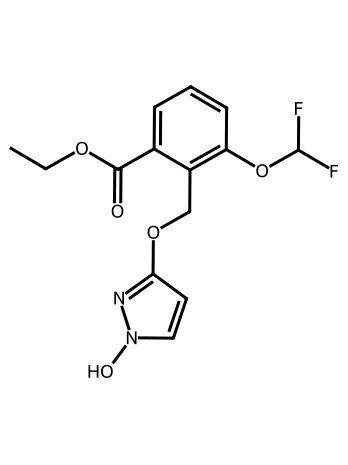 CCOC(=O)c1cccc(OC(F)F)c1COc1ccn(O)n1